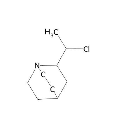 CC(Cl)C1CC2CCN1CC2